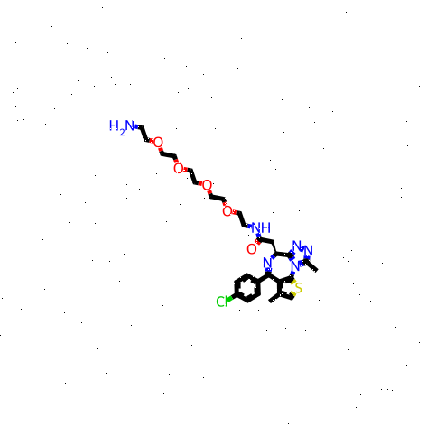 Cc1csc2c1C(c1ccc(Cl)cc1)=N[C@@H](CC(=O)NCCOCCOCCOCCOCCN)c1nnc(C)n1-2